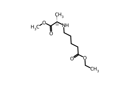 CCOC(=O)CCCCN[C@@H](C)C(=O)OC